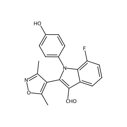 Cc1noc(C)c1-c1c(C=O)c2cccc(F)c2n1-c1ccc(O)cc1